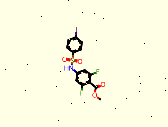 COC(=O)c1c(F)cc(NS(=O)(=O)c2ccc(I)cc2)cc1F